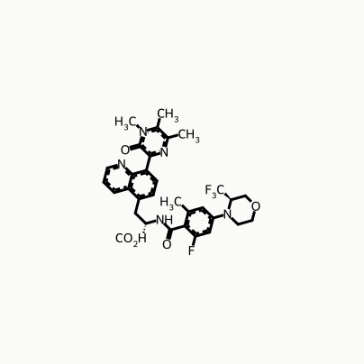 Cc1cc(N2CCOC[C@@H]2C(F)(F)F)cc(F)c1C(=O)N[C@@H](Cc1ccc(-c2nc(C)c(C)n(C)c2=O)c2ncccc12)C(=O)O